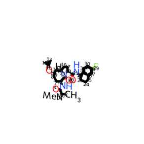 CN[C@@H](C)C(=O)N[C@H]1CC[C@H](OC2CC2)C[C@H]2CC[C@@H](C(=O)N[C@@H]3CCCc4cc(F)ccc43)N2C1=O